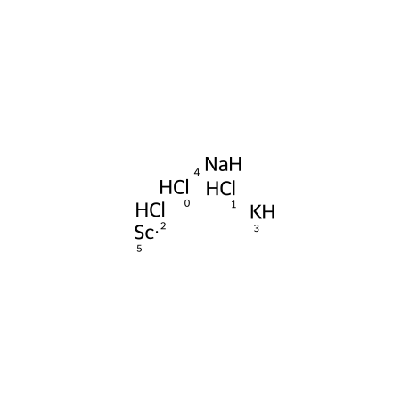 Cl.Cl.Cl.[KH].[NaH].[Sc]